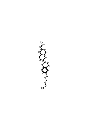 CCCCCOc1ccc2c(c1)CCC(C1CCC3CC(C=CF)CCC3C1)C2